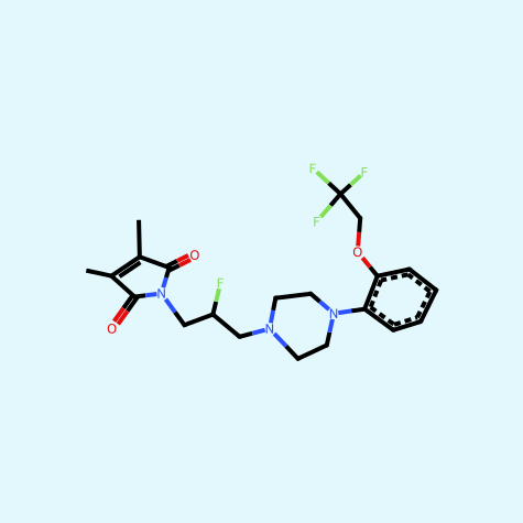 CC1=C(C)C(=O)N(CC(F)CN2CCN(c3ccccc3OCC(F)(F)F)CC2)C1=O